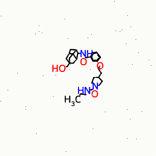 CCCNC(=O)N1CCC(CCOc2cccc(C(=O)NC3C4CC5CC3CC(CO)(C5)C4)c2)CC1